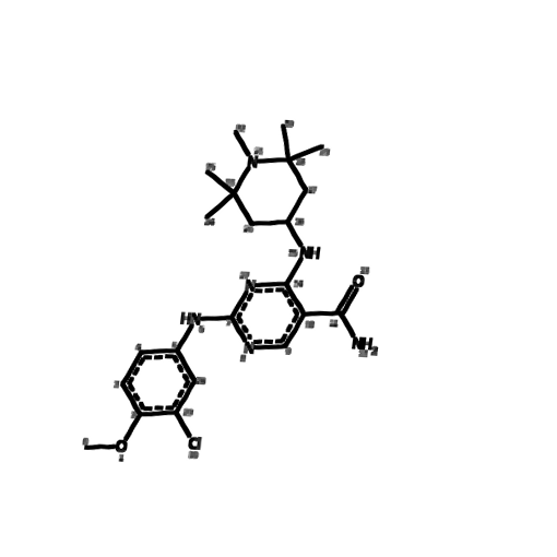 COc1ccc(Nc2ncc(C(N)=O)c(NC3CC(C)(C)N(C)C(C)(C)C3)n2)cc1Cl